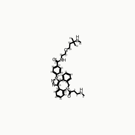 CNCCC(=O)N1Cc2ccccc2-c2c(nnn2-c2ccc(C(=O)NCCOCCC(C)(C)NC)cc2)-c2ccccc21